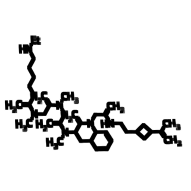 C=C(CN1C(=C)C(N(C)C(=C)CN(C)C(=C)CN(C)C(=C)CCCCCNCC)CC2C=CC=CC21)NCCC1CC(C(=C)C)C1